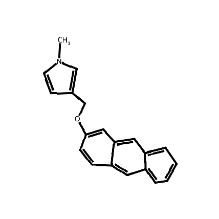 Cn1ccc(COc2ccc3cc4ccccc4cc3c2)c1